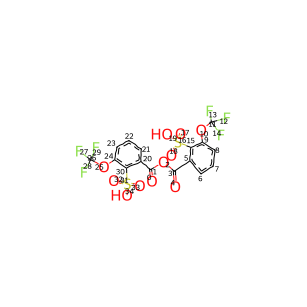 O=C(OC(=O)c1cccc(OC(F)(F)F)c1S(=O)(=O)O)c1cccc(OC(F)(F)F)c1S(=O)(=O)O